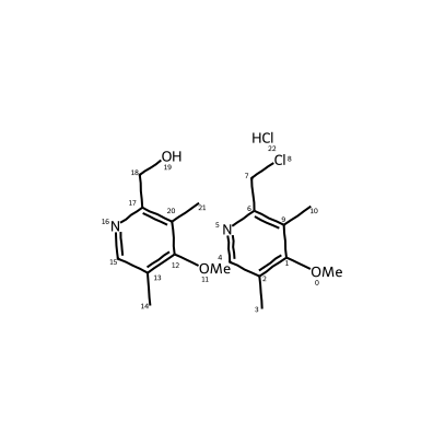 COc1c(C)cnc(CCl)c1C.COc1c(C)cnc(CO)c1C.Cl